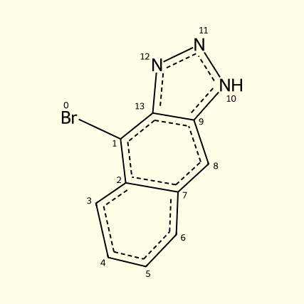 Brc1c2ccccc2cc2[nH]nnc12